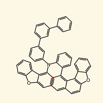 c1ccc(-c2cccc(-c3cccc(N(c4ccccc4-c4cccc5ccc6oc7ccccc7c6c45)c4cccc5oc6ccccc6c45)c3)c2)cc1